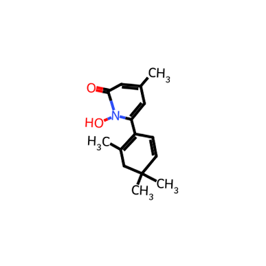 CC1=C(c2cc(C)cc(=O)n2O)C=CC(C)(C)C1